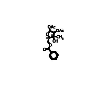 CC(=O)OC1O[C@H](COC(=O)c2ccccc2)[C@@](C)(O)C1OC(C)=O